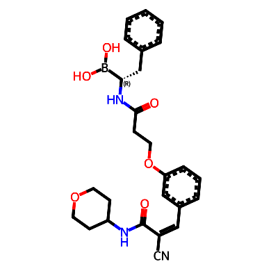 N#CC(=Cc1cccc(OCCC(=O)N[C@@H](Cc2ccccc2)B(O)O)c1)C(=O)NC1CCOCC1